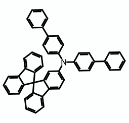 c1ccc(-c2ccc(N(c3ccc(-c4ccccc4)cc3)c3ccc4c(c3)C3(c5ccccc5-c5ccccc53)c3ccccc3-4)cc2)cc1